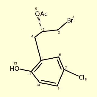 CC(=O)O[C@H](CBr)Cc1cc(Cl)ccc1O